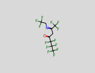 O=C(CC(=NCC(F)(F)F)C(F)(F)F)C(F)(F)C(F)(F)C(F)(F)F